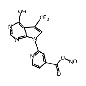 O=NOC(=O)c1ccnc(-n2cc(C(F)(F)F)c3c(O)ncnc32)c1